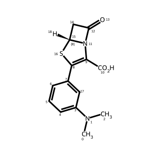 CN(C)c1cccc(C2=C(C(=O)O)N3C(=O)C[C@H]3S2)c1